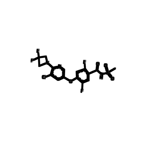 CS(=O)(=O)NC(=O)c1cc(F)c(Oc2cnc(N3CC(F)(F)C3)c(Cl)c2)cc1F